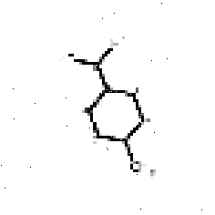 CC1CCC(C(F)F)CC1